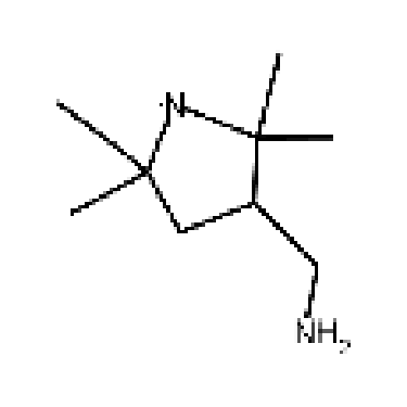 CC1(C)CC(CN)C(C)(C)[N]1